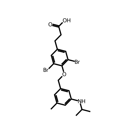 Cc1cc(COc2c(Br)cc(CCC(=O)O)cc2Br)cc(NC(C)C)c1